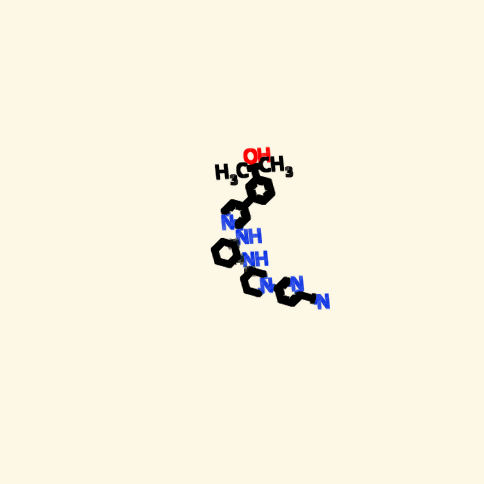 CC(C)(O)c1cccc(-c2ccnc(N[C@@H]3CCCC[C@H]3N[C@H]3CCCN(c4ccc(C#N)nc4)C3)c2)c1